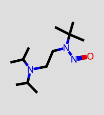 CC(C)N(CCN(N=O)C(C)(C)C)C(C)C